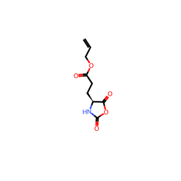 C=CCOC(=O)CC[C@@H]1NC(=O)OC1=O